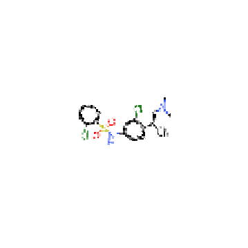 CN(C)C=C(C#N)c1ccc(NS(=O)(=O)c2ccccc2Cl)cc1Cl